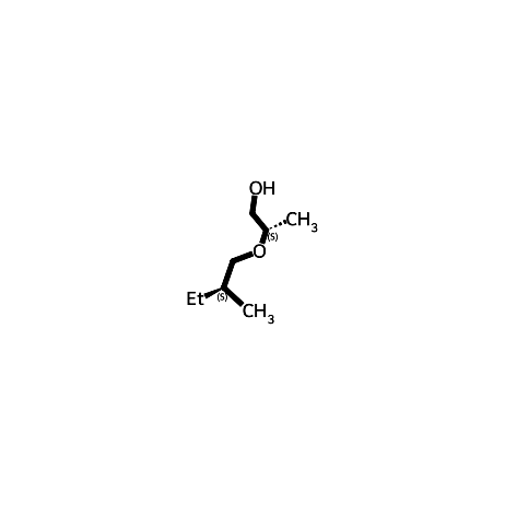 CC[C@H](C)CO[C@@H](C)CO